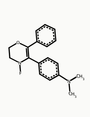 CN(C)c1ccc(C2=C(c3ccccc3)OCCN2F)cc1